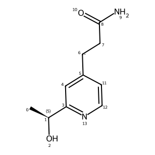 C[C@H](O)c1cc([CH]CC(N)=O)ccn1